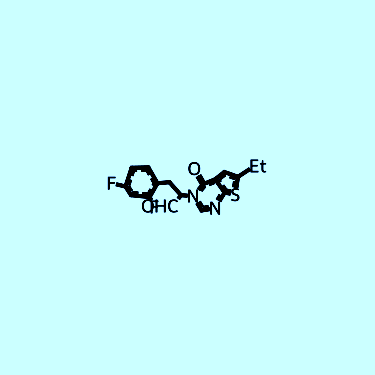 CCc1cc2c(=O)n(C(C=O)Cc3ccc(F)cc3F)cnc2s1